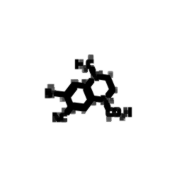 CN1CCN(C(=O)O)c2cc(C#N)c(Br)cc21